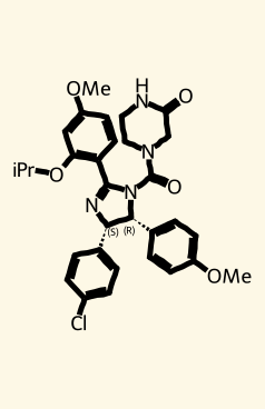 COc1ccc([C@@H]2[C@H](c3ccc(Cl)cc3)N=C(c3ccc(OC)cc3OC(C)C)N2C(=O)N2CCNC(=O)C2)cc1